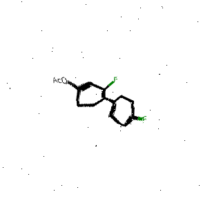 CC(=O)OC1=CC(F)=C(C2=CC=C(F)CC2)CC1